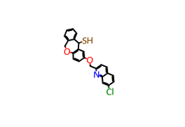 SC1c2ccccc2COc2ccc(OCc3ccc4ccc(Cl)cc4n3)cc21